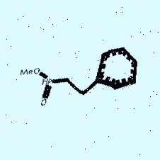 CO[PH](=O)CCc1ccccc1